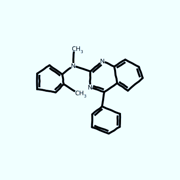 Cc1ccccc1N(C)c1nc(-c2ccccc2)c2ccccc2n1